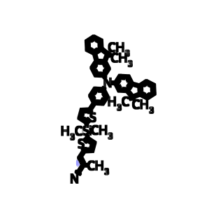 C/C(C#N)=C\c1ccc([Si](C)(C)c2ccc(-c3ccc(N(c4ccc5c(c4)C(C)(C)c4ccccc4-5)c4ccc5c(c4)C(C)(C)c4ccccc4-5)cc3)s2)s1